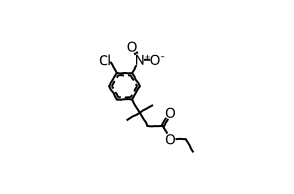 CCOC(=O)CC(C)(C)c1ccc(Cl)c([N+](=O)[O-])c1